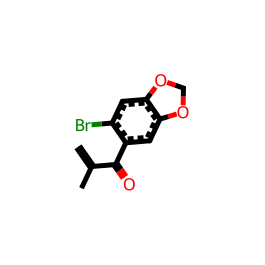 C=C(C)C(=O)c1cc2c(cc1Br)OCO2